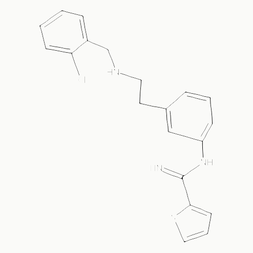 N=C(Nc1cccc(CCNCc2ccccc2Cl)c1)c1cccs1